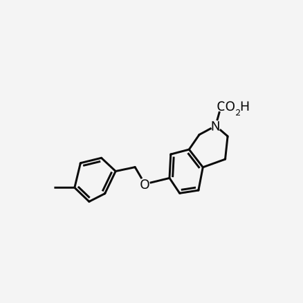 Cc1ccc(COc2ccc3c(c2)CN(C(=O)O)CC3)cc1